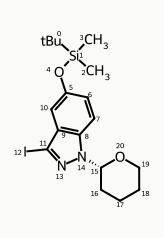 CC(C)(C)[Si](C)(C)Oc1ccc2c(c1)c(I)nn2[C@H]1CCCCO1